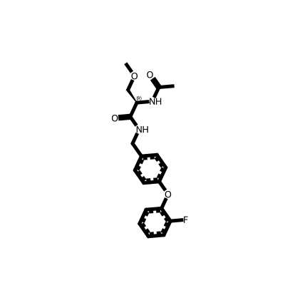 COC[C@@H](NC(C)=O)C(=O)NCc1ccc(Oc2ccccc2F)cc1